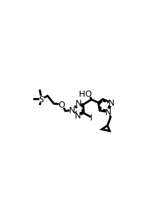 CS(C)(C)CCOCn1nc(I)c(C(O)c2cnn(CC3CC3)c2)n1